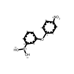 O=[N+]([O-])c1ccc(Oc2cccc(B(O)O)c2)cc1